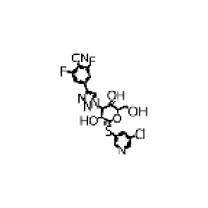 N#Cc1c(F)cc(-c2cn(C3C(O)[C@@H](Sc4cncc(Cl)c4)OC(CO)[C@@H]3O)nn2)cc1F